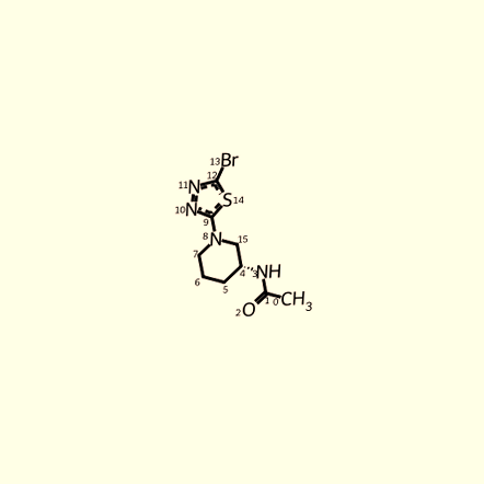 CC(=O)N[C@@H]1CCCN(c2nnc(Br)s2)C1